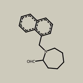 O=CC1CCCCCN1Cc1cccc2ccccc12